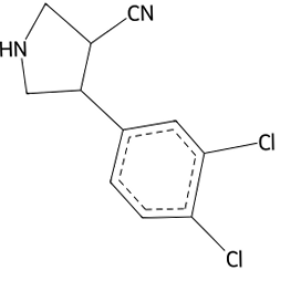 N#CC1CNCC1c1ccc(Cl)c(Cl)c1